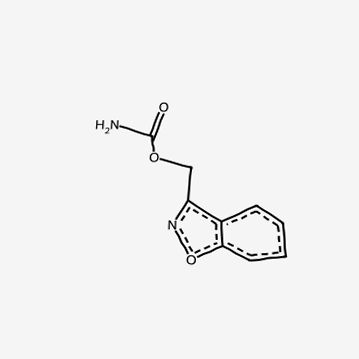 NC(=O)OCc1noc2ccccc12